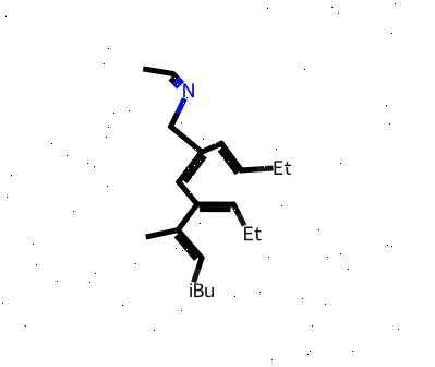 C/C=N\C/C(C=CCC)=C/C(=C/CC)C(C)=CC(C)CC